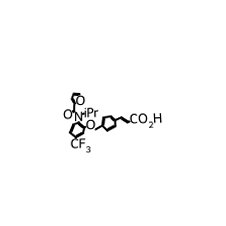 CC(C)N(C(=O)c1ccco1)c1ccc(C(F)(F)F)cc1OCc1ccc(/C=C/C(=O)O)cc1